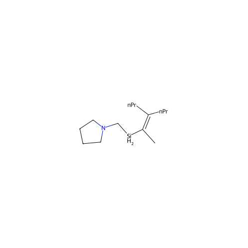 CCCC(CCC)=C(C)[SiH2]CN1CCCC1